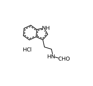 Cl.O=CNCCc1c[nH]c2ccccc12